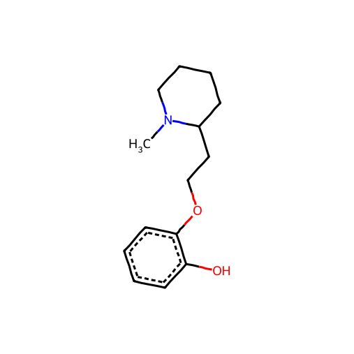 CN1CCCCC1CCOc1ccccc1O